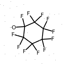 [O]C1(F)C(F)(F)C(F)(F)C(F)(F)C(F)(F)C1(F)F